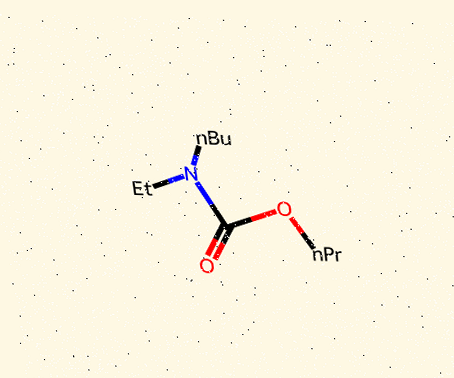 CCCCN(CC)C(=O)OCCC